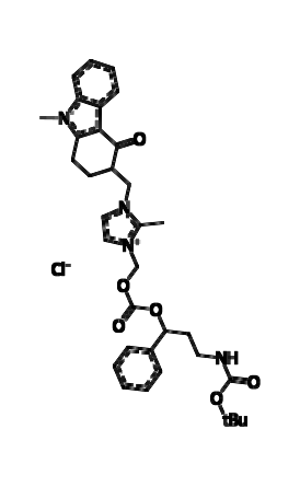 Cc1n(CC2CCc3c(c4ccccc4n3C)C2=O)cc[n+]1COC(=O)OC(CCNC(=O)OC(C)(C)C)c1ccccc1.[Cl-]